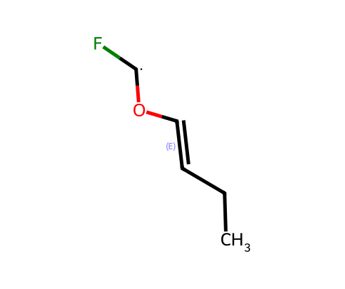 CC/C=C/O[CH]F